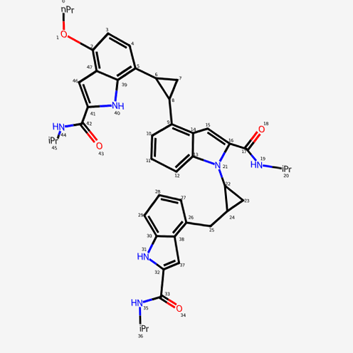 CCCOc1ccc(C2CC2c2cccc3c2cc(C(=O)NC(C)C)n3C2CC2Cc2cccc3[nH]c(C(=O)NC(C)C)cc23)c2[nH]c(C(=O)NC(C)C)cc12